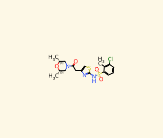 Cc1c(Cl)cccc1S(=O)(=O)Nc1nc(CC(=O)N2C[C@@H](C)O[C@@H](C)C2)cs1